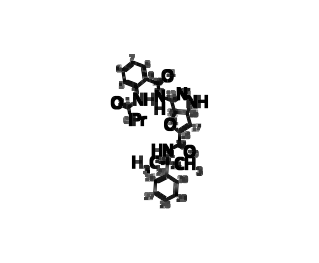 CC(C)C(=O)Nc1ccccc1C(=O)Nc1n[nH]c2cc(C(=O)NC(C)(C)c3ccccc3)oc12